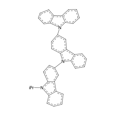 CC(C)n1c2ccccc2c2cc(-n3c4ccccc4c4cc(-n5c6ccccc6c6ccccc65)ccc43)ccc21